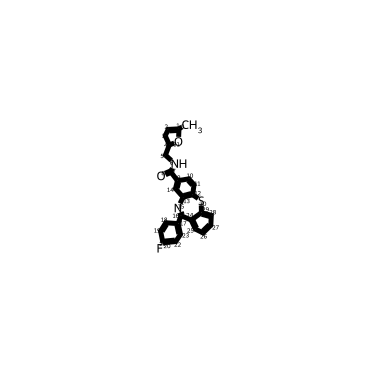 CC1=CCC(CNC(=O)c2ccc3c(c2)N=C(c2ccc(F)cc2)c2ccccc2S3)O1